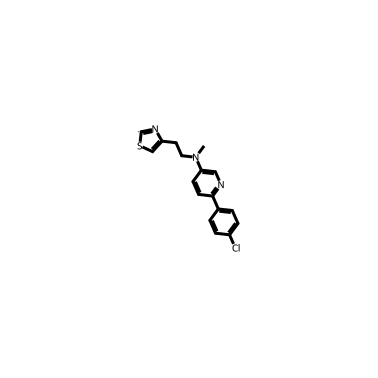 CN(CCc1cs[c]n1)c1ccc(-c2ccc(Cl)cc2)nc1